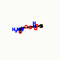 COc1nn(CCOCCOCCNC(=O)OCC[Si](C)(C)C)cc1N